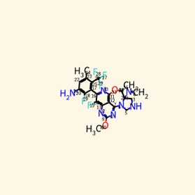 C=N[C@@]12CNCN1c1nc(OC)nc3c(F)c(-c4c(F)c(N)cc(C)c4C(F)(F)F)nc(c13)O[C@H]2C